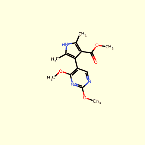 COC(=O)c1c(C)[nH]c(C)c1-c1cnc(OC)nc1OC